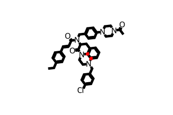 CCc1ccc(C=CC(=O)N(Cc2ccc(N3CCN(C(C)=O)CC3)cc2)C(Cc2ccccc2)C(=O)N2CCN(Cc3ccc(Cl)cc3)CC2)cc1